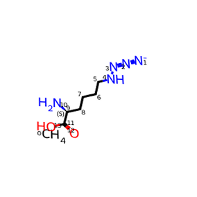 C.[N-]=[N+]=NNCCCC[C@H](N)C(=O)O